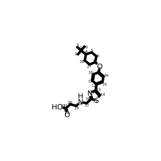 CC(C)(C)C1CCC(Oc2ccc(-c3csc(CNCCC(=O)O)n3)cc2)CC1